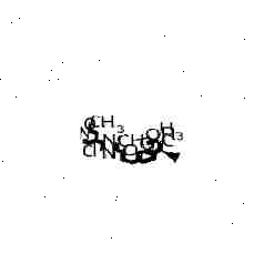 COc1cc(-c2cnc(C3CCc4ccc([C@H](C5CC5)[C@H](C)C(=O)O)cc4O3)c(C)n2)c(Cl)cn1